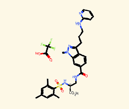 Cc1cc(C)c(S(=O)(=O)N[C@@H](CNC(=O)c2ccc3c(CCCNc4ccccn4)nn(C)c3c2)C(=O)O)c(C)c1.O=C(O)C(F)(F)F